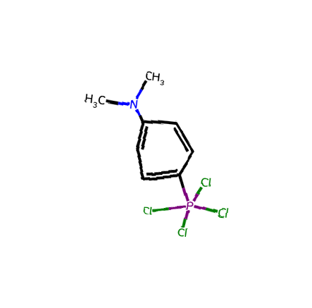 CN(C)c1ccc(P(Cl)(Cl)(Cl)Cl)cc1